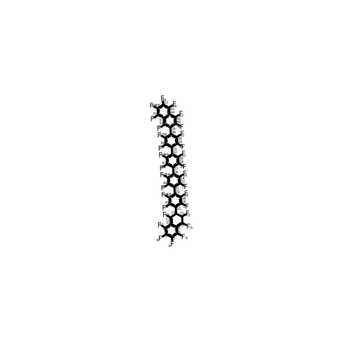 FC1=c2c(F)c(F)c(F)c(F)c2=C(F)C(c2c(F)c(F)c(-c3c(F)c(F)c(-c4c(F)c(F)c(-c5c(F)c(F)c(-c6c(F)c(F)c7c(F)c(F)c(F)c(F)c7c6F)c(F)c5F)c(F)c4F)c(F)c3F)c(F)c2F)C1F